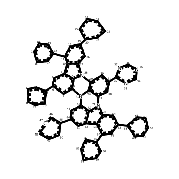 c1ccc(-c2cc3c4c(c2)c2c(-c5ccccc5)cc(-c5ccccc5)cc2n4-c2cc(-c4ncncn4)cc4c2B3c2cc(-c3ccccc3)cc3c5c(-c6ccccc6)cc(-c6ccccc6)cc5n-4c23)cc1